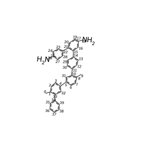 Cc1ccc(-c2ccc(C)c(-c3ccc(-c4cc(N)ccc4-c4ccc(N)cc4)cc3)c2)cc1-c1ccccc1